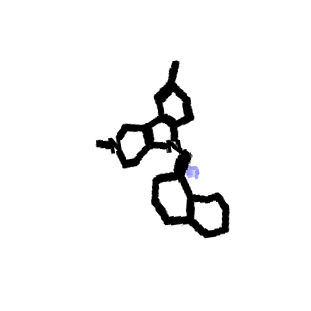 Cc1ccc2c(c1)c1c(n2/C=C2\CCCC3CCCCC23)CCN(C)C1